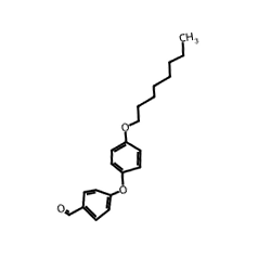 CCCCCCCCOc1ccc(Oc2ccc(C=O)cc2)cc1